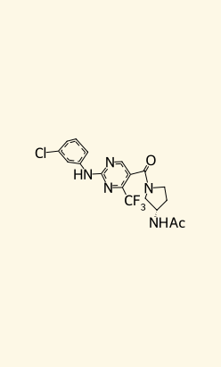 CC(=O)N[C@H]1CCN(C(=O)c2cnc(Nc3cccc(Cl)c3)nc2C(F)(F)F)C1